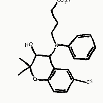 CC1(C)Oc2ccc(C#N)cc2C(N(CCCC(=O)O)c2ccccc2)C1O